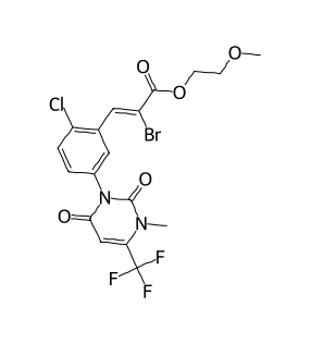 COCCOC(=O)C(Br)=Cc1cc(-n2c(=O)cc(C(F)(F)F)n(C)c2=O)ccc1Cl